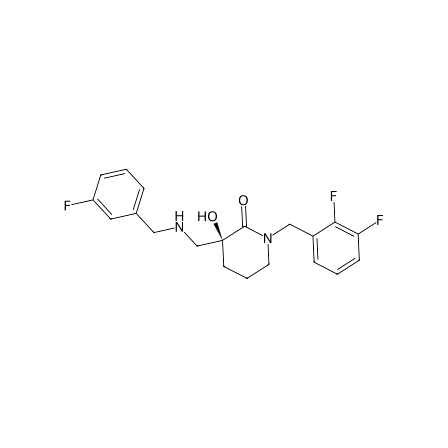 O=C1N(Cc2cccc(F)c2F)CCC[C@]1(O)CNCc1cccc(F)c1